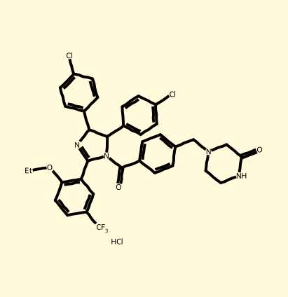 CCOc1ccc(C(F)(F)F)cc1C1=NC(c2ccc(Cl)cc2)C(c2ccc(Cl)cc2)N1C(=O)c1ccc(CN2CCNC(=O)C2)cc1.Cl